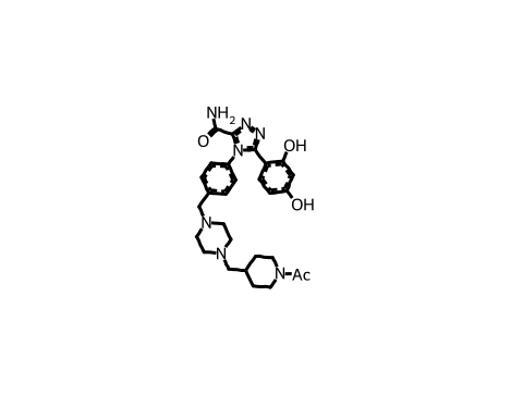 CC(=O)N1CCC(CN2CCN(Cc3ccc(-n4c(C(N)=O)nnc4-c4ccc(O)cc4O)cc3)CC2)CC1